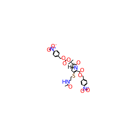 CC(=O)NCCSC1=C(C(=O)OCc2ccc([N+](=O)[O-])cc2)N2C(=O)[C@H](C(C)(C)OC(=O)OCc3ccc([N+](=O)[O-])cc3)[C@H]2C1